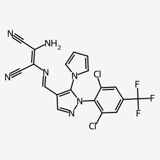 N#CC(N)=C(C#N)N=Cc1cnn(-c2c(Cl)cc(C(F)(F)F)cc2Cl)c1-n1cccc1